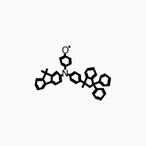 COc1ccc(N(c2ccc(C3(C)CC(c4ccccc4)(c4ccccc4)c4ccccc43)cc2)c2ccc3c(c2)C(C)(C)c2ccccc2-3)cc1